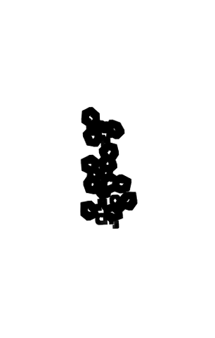 Cc1ccccc1N(c1ccc2cc3c(cc2c1)C1(c2ccccc2-c2ccccc21)c1c-3c2ccccc2c2cc(N(c3ccccc3C)c3cccc4c3oc3ccccc34)ccc12)c1cccc2c1oc1ccccc12